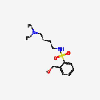 CC(C)N(CCCCNS(=O)(=O)c1ccccc1C[O])C(C)C